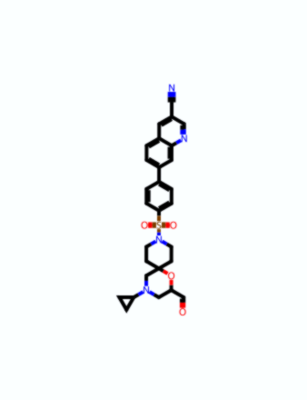 N#Cc1cnc2cc(-c3ccc(S(=O)(=O)N4CCC5(CC4)CN(C4CC4)CC(C=O)O5)cc3)ccc2c1